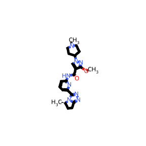 COc1nn(C2CCN(C)CC2)cc1C(=O)Nc1cccc(-c2nnc3n2[C@@H](C)CC3)n1